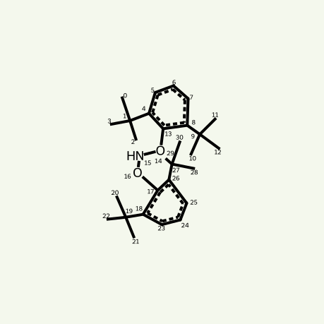 CC(C)(C)c1cccc(C(C)(C)C)c1ONOc1c(C(C)(C)C)cccc1C(C)(C)C